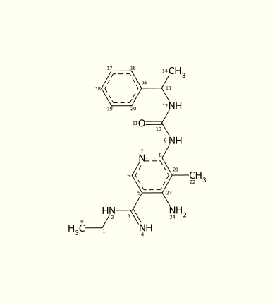 CCNC(=N)c1cnc(NC(=O)NC(C)c2ccccc2)c(C)c1N